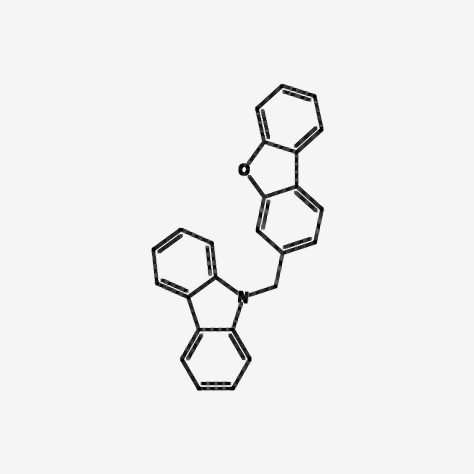 c1ccc2c(c1)oc1cc(Cn3c4ccccc4c4ccccc43)ccc12